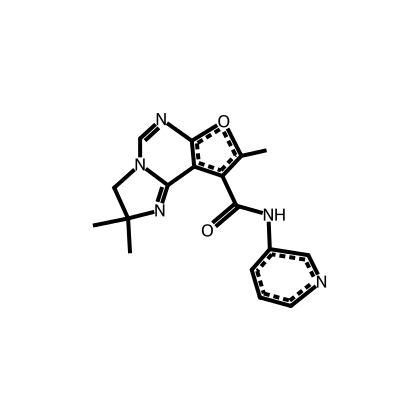 Cc1oc2c(c1C(=O)Nc1cccnc1)C1=NC(C)(C)CN1C=N2